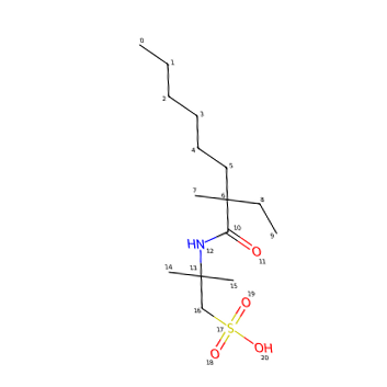 CCCCCCC(C)(CC)C(=O)NC(C)(C)CS(=O)(=O)O